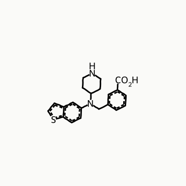 O=C(O)c1cccc(CN(c2ccc3sccc3c2)C2CCNCC2)c1